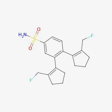 NS(=O)(=O)c1ccc(C2=C(CF)CCC2)c(C2=C(CF)CCC2)c1